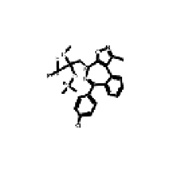 COC(C[C@@H]1N=C(c2ccc(Cl)cc2)c2ccccc2-c2c(C)noc21)(O[Si](C)(C)C)C(F)(F)F